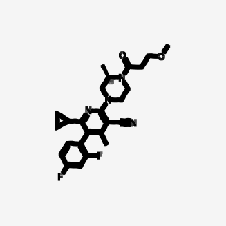 COCCC(=O)N1CCN(c2nc(C3CC3)c(-c3ccc(F)cc3F)c(C)c2C#N)C[C@H]1C